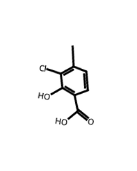 Cc1ccc(C(=O)O)c(O)c1Cl